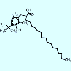 CCCCCCCCCCCCCCCCC(Cc1c(C)cc(C(C)(C)C)c(O)c1C)C(=O)O